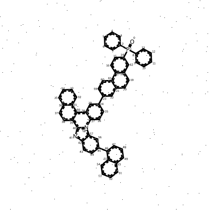 O=P(c1ccccc1)(c1ccccc1)c1ccc2c(ccc3cc(-c4ccc5c(c4)c4c6ccccc6ccc4c4nc6ccc(-c7cccc8ccccc78)cc6n54)ccc32)c1